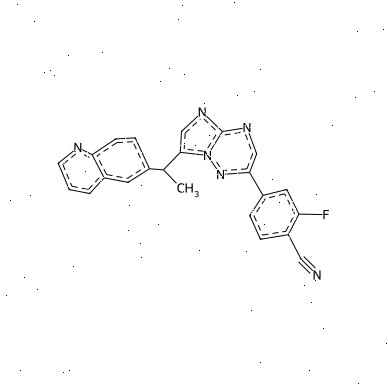 CC(c1ccc2ncccc2c1)c1cnc2ncc(-c3ccc(C#N)c(F)c3)nn12